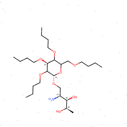 CCCCOCC1O[C@H](OC[C@H](N)[C@@H](O)[C@@H](C)O)C(OCCCC)[C@@H](OCCCC)C1OCCCC